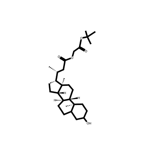 C[C@H](CC(=O)OCC(=O)OC(C)(C)C)[C@H]1CC[C@H]2[C@@H]3CCC4CC(O)CC[C@]4(C)[C@H]3CC[C@]12C